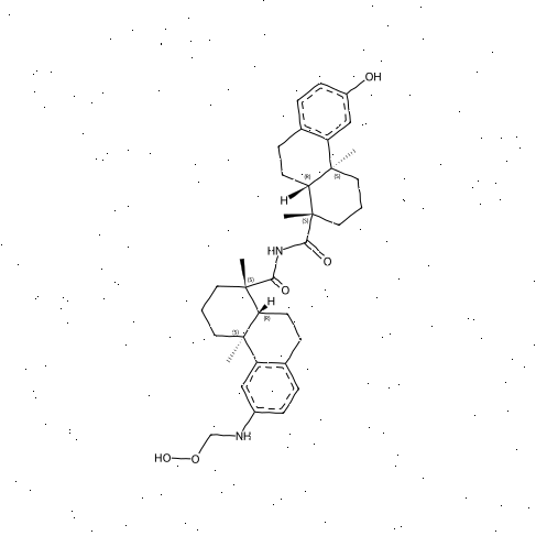 C[C@]1(C(=O)NC(=O)[C@@]2(C)CCC[C@]3(C)c4cc(NCOO)ccc4CC[C@@H]23)CCC[C@]2(C)c3cc(O)ccc3CC[C@@H]12